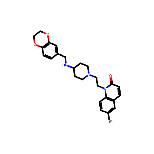 CC(C)c1ccc2c(ccc(=O)n2CCN2CCC(NCc3ccc4c(c3)OCCO4)CC2)c1